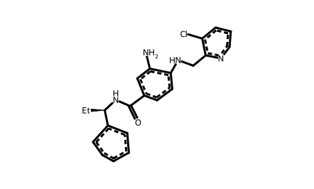 CC[C@@H](NC(=O)c1ccc(NCc2ncccc2Cl)c(N)c1)c1ccccc1